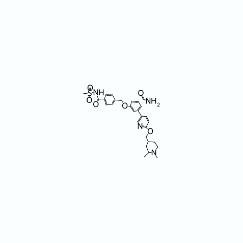 CC1CC(COc2ccc(-c3cccc(OCc4ccc(C(=O)NS(C)(=O)=O)cc4)c3)cn2)CCN1C.NC=O